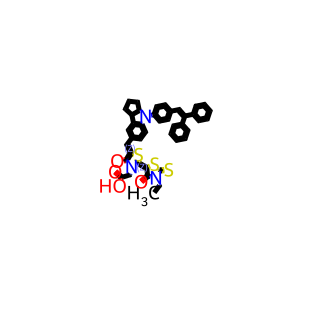 CCN1C(=O)/C(=c2/s/c(=C\c3ccc4c(c3)C3CCCC3N4c3ccc(C=C(c4ccccc4)c4ccccc4)cc3)c(=O)n2CC(=O)O)SC1=S